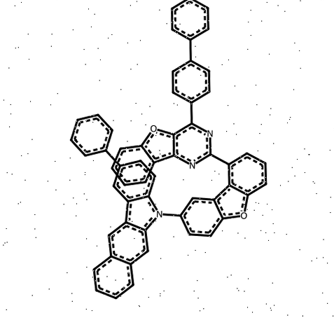 c1ccc(-c2ccc(-c3nc(-c4cccc5oc6ccc(-n7c8ccc(-c9ccccc9)cc8c8cc9ccccc9cc87)cc6c45)nc4c3oc3ccccc34)cc2)cc1